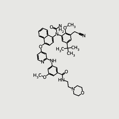 COc1cc(Nc2cc(Oc3ccc(N(C(N)=O)c4cc(C(C)(C)C)cc(CC#N)c4OC)c4ccccc34)ccn2)cc(C(=O)NCCN2CCOCC2)c1